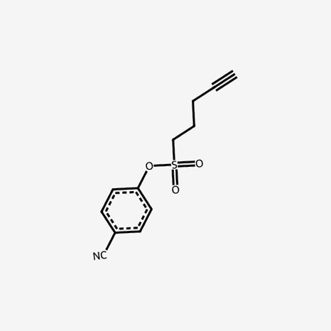 C#CCCCS(=O)(=O)Oc1ccc(C#N)cc1